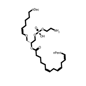 CCCCC/C=C\C/C=C\C/C=C\CCCCC(=O)O[C@H](CO/C=C\CCCCCCCCCCCCCC)COP(=O)(O)OCCN